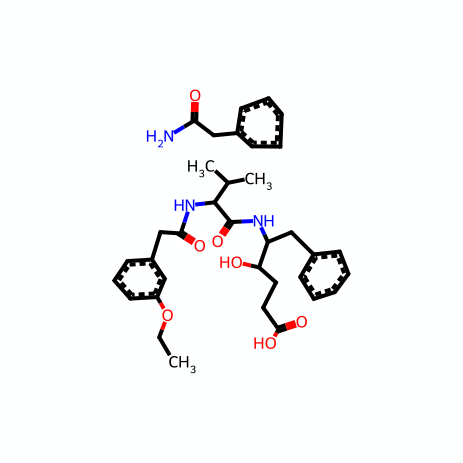 CCOc1cccc(CC(=O)NC(C(=O)NC(Cc2ccccc2)C(O)CCC(=O)O)C(C)C)c1.NC(=O)Cc1ccccc1